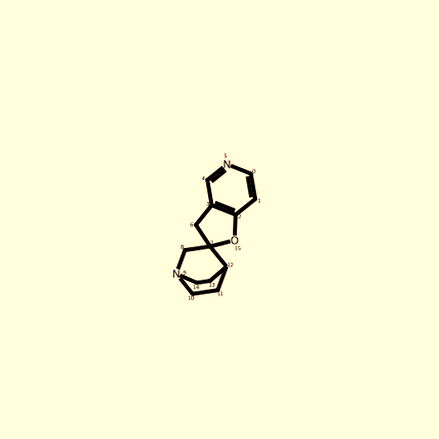 c1cc2c(cn1)CC1(CN3CCC1CC3)O2